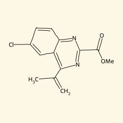 C=C(C)c1nc(C(=O)OC)nc2ccc(Cl)cc12